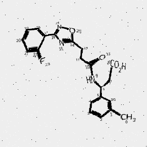 Cc1cccc([C@H](CC(=O)O)NC(=O)CCc2nc(-c3ccccc3F)no2)c1